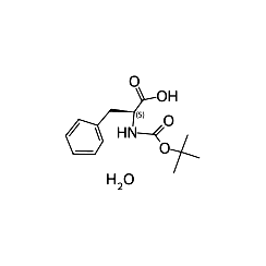 CC(C)(C)OC(=O)N[C@@H](Cc1ccccc1)C(=O)O.O